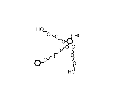 O=Cc1cc(OCCOCCOCCO)c(OCCOCCOCCOCc2ccccc2)c(OCCOCCOCCO)c1